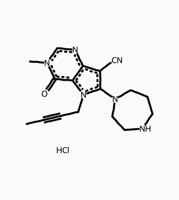 CC#CCn1c(N2CCCNCC2)c(C#N)c2ncn(C)c(=O)c21.Cl